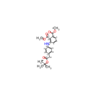 COC(=O)c1cccc(Nc2ccc(CC(=O)OC(C)(C)C)cc2)c1C(=O)OC